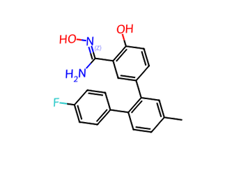 Cc1ccc(-c2ccc(F)cc2)c(-c2ccc(O)c(/C(N)=N/O)c2)c1